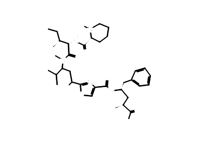 CC[C@H](C)[C@H](NC(=O)[C@@H]1CCCCN1C)C(=O)N(C)C(CC(O)c1nc(C(=O)N[C@@H](Cc2ccccc2)C[C@H](C)C(=O)O)cs1)C(C)C